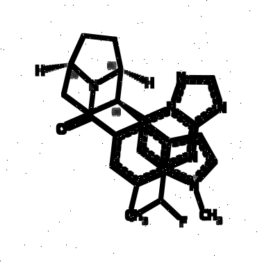 Cc1cc(C(=O)N2[C@H]3CC[C@H](c4cc(C(F)F)nc5ncnn45)[C@@H]2CC3)cc2ccn(C)c12